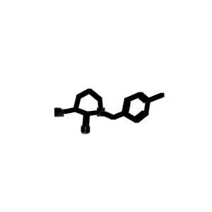 Cc1ccc(CN2CCCC(Br)C2=O)cc1